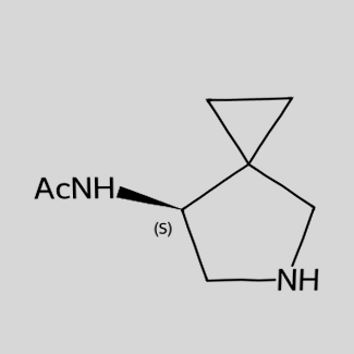 CC(=O)N[C@@H]1CNCC12CC2